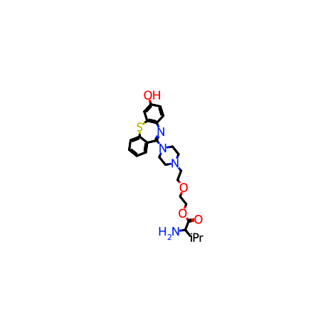 CC(C)C(N)C(=O)OCCOCCN1CCN(C2=Nc3ccc(O)cc3Sc3ccccc32)CC1